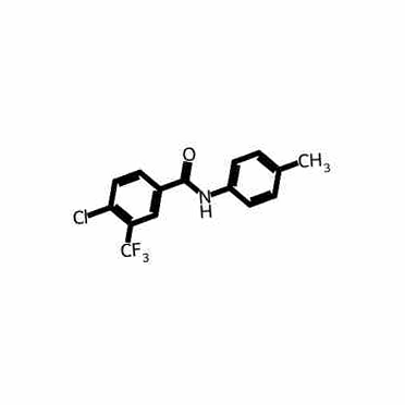 Cc1ccc(NC(=O)c2ccc(Cl)c(C(F)(F)F)c2)cc1